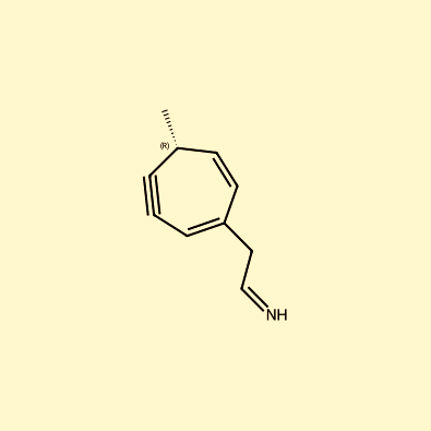 C[C@H]1C#CC=C(CC=N)C=C1